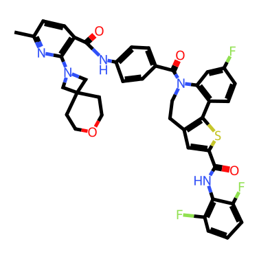 Cc1ccc(C(=O)Nc2ccc(C(=O)N3CCc4cc(C(=O)Nc5c(F)cccc5F)sc4-c4ccc(F)cc43)cc2)c(N2CC3(CCOCC3)C2)n1